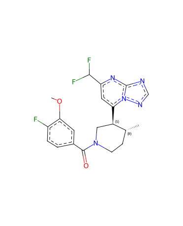 COc1cc(C(=O)N2CC[C@@H](C)[C@H](c3cc(C(F)F)nc4ncnn34)C2)ccc1F